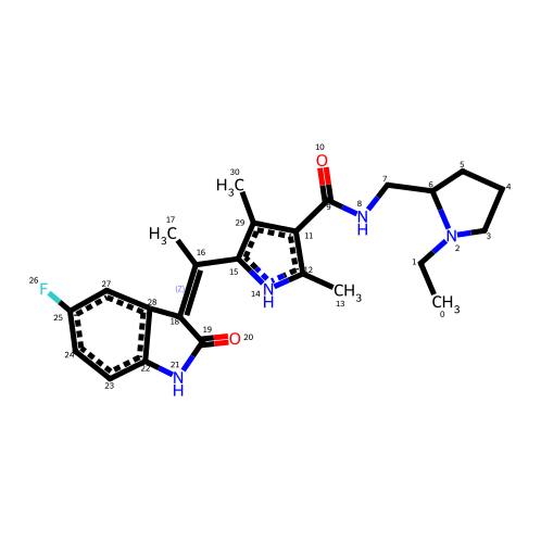 CCN1CCCC1CNC(=O)c1c(C)[nH]c(/C(C)=C2\C(=O)Nc3ccc(F)cc32)c1C